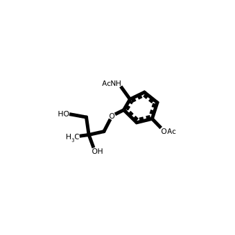 CC(=O)Nc1ccc(OC(C)=O)cc1OCC(C)(O)CO